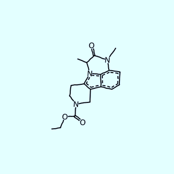 CCOC(=O)N1CCc2c(c3cccc4c3n2C(C)C(=O)N4C)C1